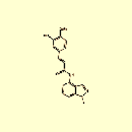 COc1ccc(/C=C/C(=O)Nc2cccc3c2cnn3C)cc1O